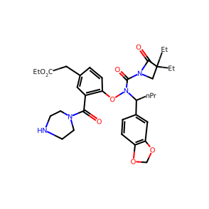 CCCC(c1ccc2c(c1)OCO2)N(Oc1ccc(CC(=O)OCC)cc1C(=O)N1CCNCC1)C(=O)N1CC(CC)(CC)C1=O